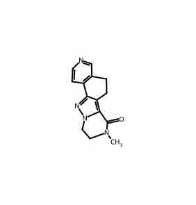 CN1CCn2nc3c(c2C1=O)CCc1cnccc1-3